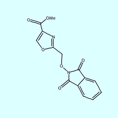 COC(=O)c1coc(CON2C(=O)c3ccccc3C2=O)n1